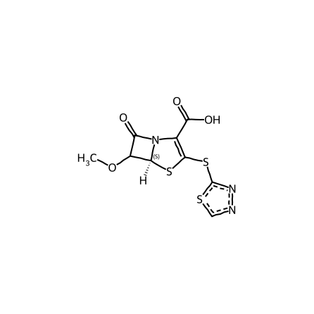 COC1C(=O)N2C(C(=O)O)=C(Sc3nncs3)S[C@@H]12